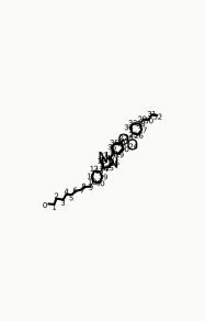 CCCCCCCCCC[C@H]1CC[C@H](c2cnc(-c3ccc(OC(=O)[C@H]4CC[C@H](CCCC)CC4)cc3)nc2)CC1